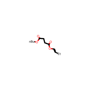 CCC=COC(=O)CCC(=O)OCCCC